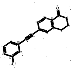 O=C1CCCc2cc(C#Cc3cccc(Cl)c3)ccc21